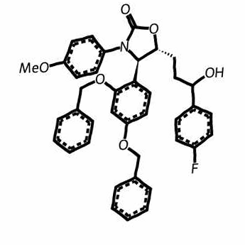 COc1ccc(N2C(=O)O[C@H](CCC(O)c3ccc(F)cc3)[C@H]2c2ccc(OCc3ccccc3)cc2OCc2ccccc2)cc1